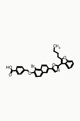 CCCCc1oc2ccccc2c1-c1ncc(-c2ccc3c(Br)c(OCc4ccc(C(=O)O)cc4)ccc3c2)o1